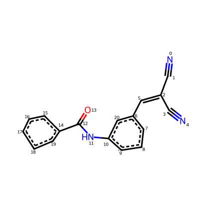 N#CC(C#N)=Cc1cc[c]c(NC(=O)c2ccccc2)c1